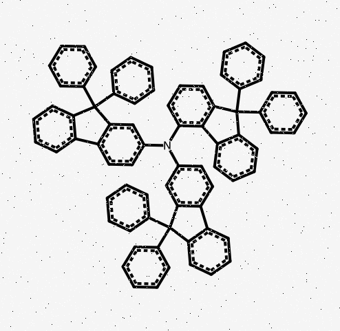 c1ccc(C2(c3ccccc3)c3ccccc3-c3ccc(N(c4ccc5c(c4)C(c4ccccc4)(c4ccccc4)c4ccccc4-5)c4cccc5c4-c4ccccc4C5(c4ccccc4)c4ccccc4)cc32)cc1